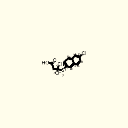 CC(C)(CC(=O)O)Sc1ccc2cc(Cl)ccc2c1